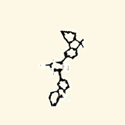 CC1(C)c2ccccc2-c2cc(-c3nc(Cl)nc(-c4ccc5oc6ccccc6c5c4)n3)ccc21